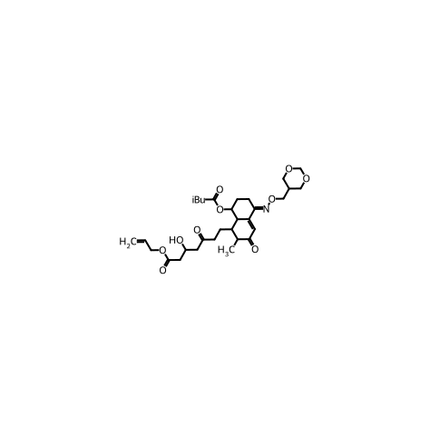 C=CCOC(=O)CC(O)CC(=O)CCC1C(C)C(=O)C=C2C(=NOCC3COCOC3)CCC(OC(=O)C(C)CC)C21